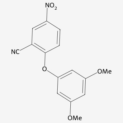 COc1cc(OC)cc(Oc2ccc([N+](=O)[O-])cc2C#N)c1